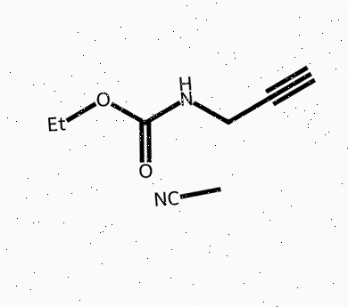 C#CCNC(=O)OCC.CC#N